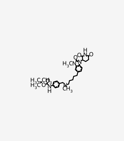 CN(CCCCCc1ccc2c(c1)n(C)c(=O)n2C1CCC(=O)NC1=O)Cc1ccc(NC(=O)OC(C)(C)C)cc1